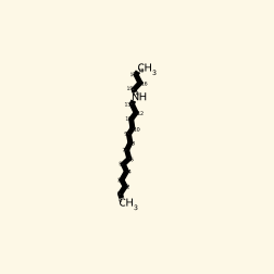 CCCCCCCCCCCCCCNCCCC